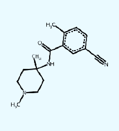 Cc1ccc(C#N)cc1C(=O)NC1(C)CCN(C)CC1